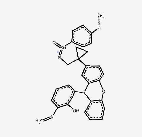 C=Nc1cccc(N2c3ccccc3Oc3ccc(C4(C/N=[SH](=O)\c5ccc(OC(F)(F)F)cc5)CC4)cc32)c1O